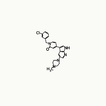 CN1CCN(c2cnc3[nH]cc(-c4ccn(Cc5cccc(Cl)c5)c(=O)c4)c3c2)CC1